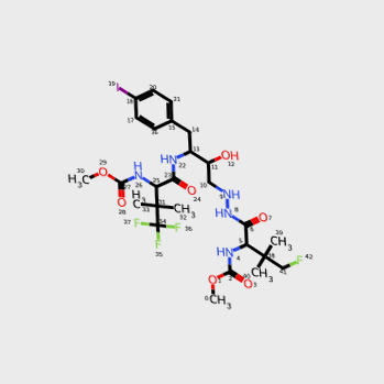 COC(=O)NC(C(=O)NNCC(O)C(Cc1ccc(I)cc1)NC(=O)C(NC(=O)OC)C(C)(C)C(F)(F)F)C(C)(C)CF